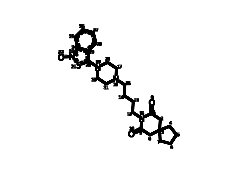 O=C1CC2(CCCC2)CC(=O)N1CCCCN1CCN(c2s[n+]([O-])c3ccccc23)CC1